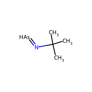 CC(C)(C)N=[AsH]